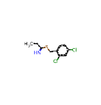 CCC(=N)SCc1ccc(Cl)cc1Cl